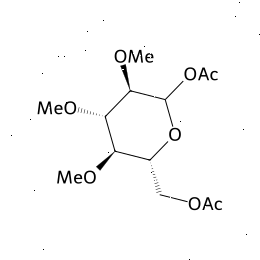 CO[C@H]1[C@H](OC)[C@@H](OC)C(OC(C)=O)O[C@@H]1COC(C)=O